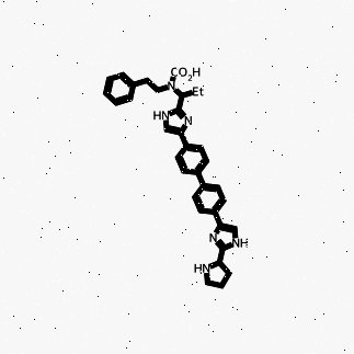 CCC(c1nc(-c2ccc(-c3ccc(-c4c[nH]c(C5CCCN5)n4)cc3)cc2)c[nH]1)N(CCc1ccccc1)C(=O)O